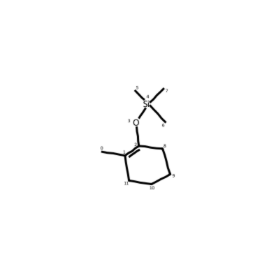 CC1=C(O[Si](C)(C)C)CCCC1